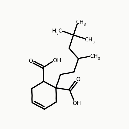 CC(CCC1(C(=O)O)CC=CCC1C(=O)O)CC(C)(C)C